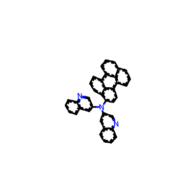 c1ccc2ncc(N(c3cnc4ccccc4c3)c3ccc4c5cccc6cccc(c7cccc3c74)c65)cc2c1